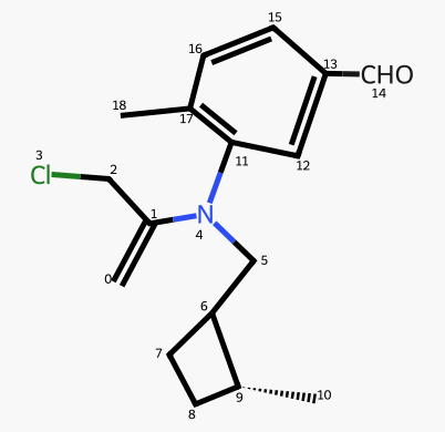 C=C(CCl)N(CC1CC[C@H]1C)c1cc(C=O)ccc1C